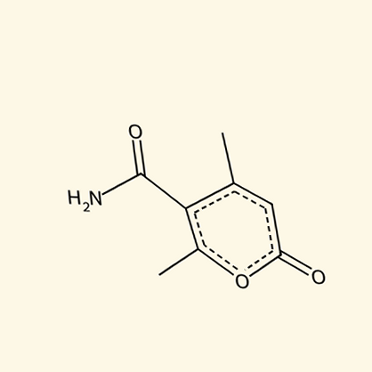 Cc1cc(=O)oc(C)c1C(N)=O